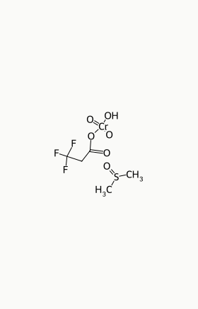 CS(C)=O.O=C(CC(F)(F)F)[O][Cr](=[O])(=[O])[OH]